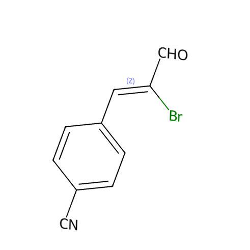 N#Cc1ccc(/C=C(\Br)C=O)cc1